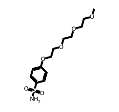 COCCOCCOCCOc1ccc(S(N)(=O)=O)cc1